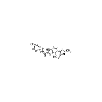 Cn1cc(-c2ccc3c(c2)CC(C(=O)NCc2ccc(Cl)cc2)N3)c(S(=O)(=O)O)n1